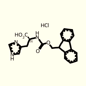 Cl.O=C(N[C@@H](Cc1c[nH]cn1)C(=O)O)OCC1c2ccccc2-c2ccccc21